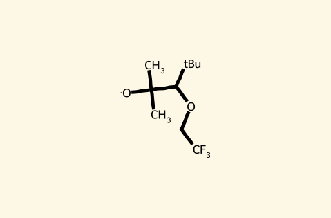 CC(C)(C)C(OCC(F)(F)F)C(C)(C)[O]